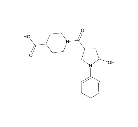 O=C(O)C1CCN(C(=O)C2CC(O)N(C3=CCCC=C3)C2)CC1